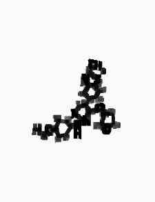 Cc1nc2cc(-c3cnc(N[C@H]4CC[C@H](C)CC4)nc3O[C@@H]3CCOC3)ccc2s1